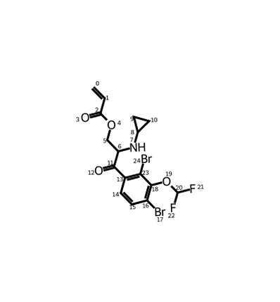 C=CC(=O)OCC(NC1CC1)C(=O)c1ccc(Br)c(OC(F)F)c1Br